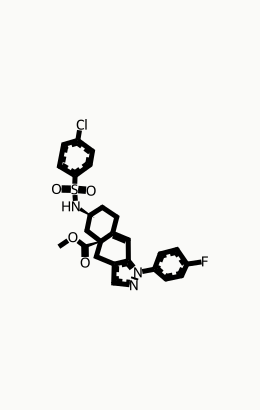 COC(=O)[C@]12Cc3cnn(-c4ccc(F)cc4)c3C=C1CC[C@H](NS(=O)(=O)c1ccc(Cl)cc1)C2